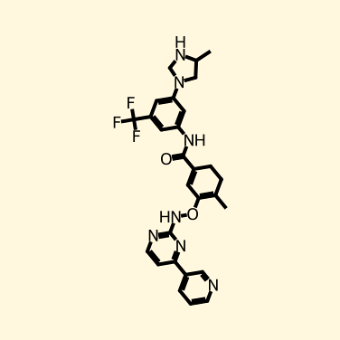 CC1=C(ONc2nccc(-c3cccnc3)n2)C=C(C(=O)Nc2cc(N3CNC(C)C3)cc(C(F)(F)F)c2)CC1